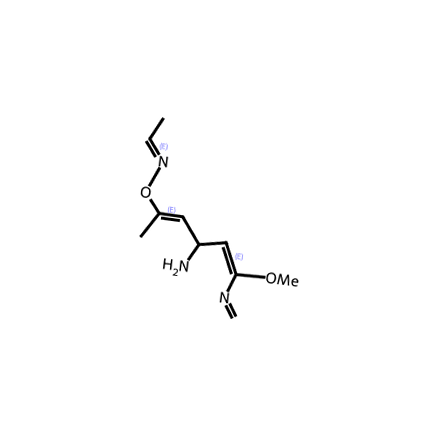 C=N/C(=C\C(N)/C=C(\C)O/N=C/C)OC